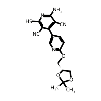 CC1(C)OC[C@@H](COc2ccc(-c3c(C#N)c(N)nc(S)c3C#N)cn2)O1